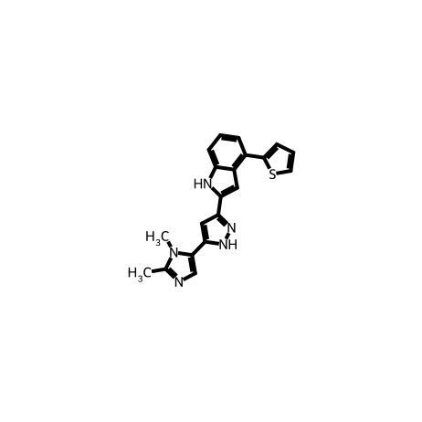 Cc1ncc(-c2cc(-c3cc4c(-c5cccs5)cccc4[nH]3)n[nH]2)n1C